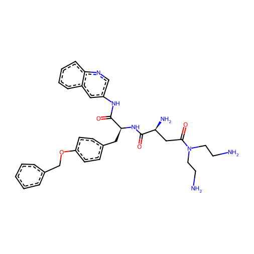 NCCN(CCN)C(=O)C[C@H](N)C(=O)N[C@@H](Cc1ccc(OCc2ccccc2)cc1)C(=O)Nc1cnc2ccccc2c1